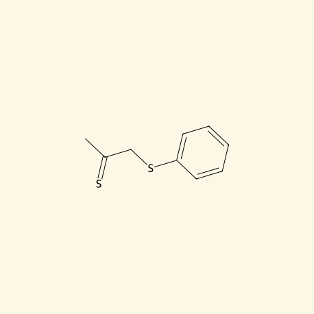 CC(=S)CSc1ccccc1